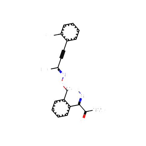 CNC(=O)/C(=N/OC)c1ccccc1CO/N=C(\C)C#Cc1ccccc1C(F)(F)F